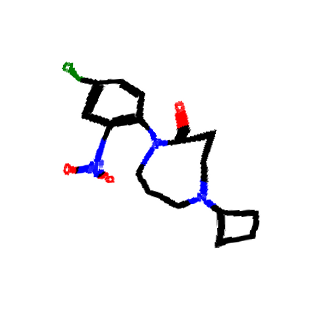 O=C1CCN(C2CCC2)CCCN1c1ccc(Cl)cc1[N+](=O)[O-]